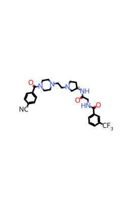 N#Cc1ccc(C(=O)N2CCN(CCN3CC[C@@H](NC(=O)CNC(=O)c4cccc(C(F)(F)F)c4)C3)CC2)cc1